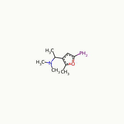 Cc1oc(P)cc1C(C)N(C)C